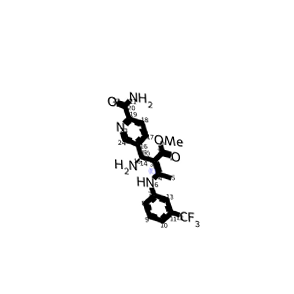 COC(=O)/C(=C(\C)Nc1cccc(C(F)(F)F)c1)[C@H](N)c1ccc(C(N)=O)nc1